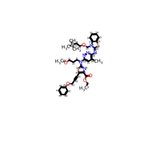 CCOC(=O)c1nc(N(CCCOC)c2cc(C)c(N=c3sc4ccccc4n3COCC[Si](C)(C)C)nn2)sc1C#CCOc1ccccc1